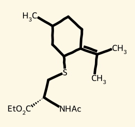 CCOC(=O)[C@H](CSC1CC(C)CCC1=C(C)C)NC(C)=O